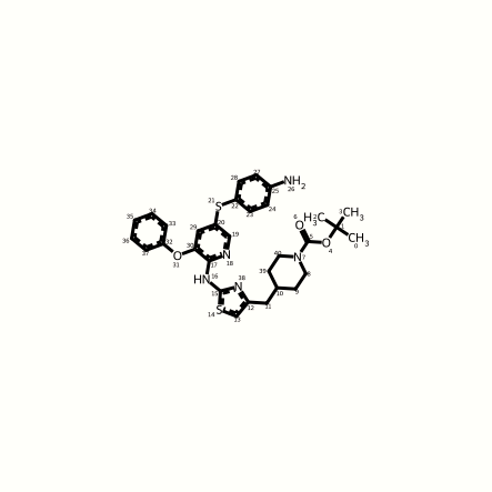 CC(C)(C)OC(=O)N1CCC(Cc2csc(Nc3ncc(Sc4ccc(N)cc4)cc3Oc3ccccc3)n2)CC1